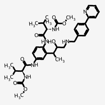 COC(=O)N[C@H](C(=O)Nc1ccc(NC(=O)[C@@H](NC(=O)OC)C(C)C)c(C(C)C(O)CNCc2ccc(-c3ccccn3)cc2)c1)C(C)C